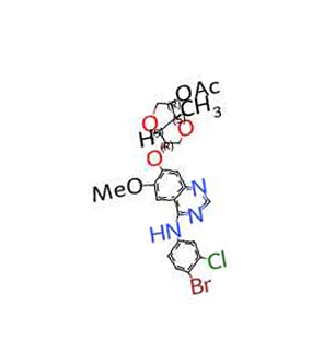 COc1cc2c(Nc3ccc(Br)c(Cl)c3)ncnc2cc1O[C@@H]1CO[C@@]2(C)[C@H](OC(C)=O)CO[C@@H]12